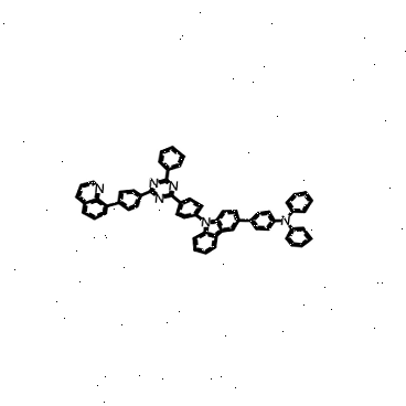 c1ccc(-c2nc(-c3ccc(-c4cccc5cccnc45)cc3)nc(-c3ccc(-n4c5ccccc5c5cc(-c6ccc(N(c7ccccc7)c7ccccc7)cc6)ccc54)cc3)n2)cc1